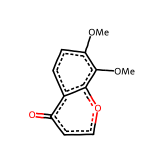 COc1ccc2c(=O)ccoc2c1OC